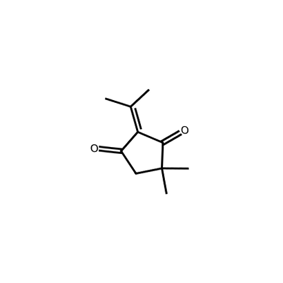 CC(C)=C1C(=O)CC(C)(C)C1=O